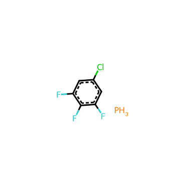 Fc1cc(Cl)cc(F)c1F.P